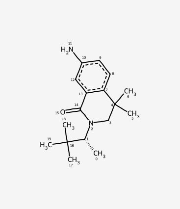 C[C@@H](N1CC(C)(C)c2ccc(N)cc2C1=O)C(C)(C)C